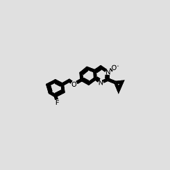 [O-][n+]1cc2ccc(OCc3cccc(F)c3)cc2nc1C1CC1